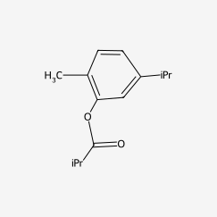 Cc1ccc(C(C)C)cc1OC(=O)C(C)C